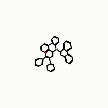 c1ccc(-c2ccc(N(c3ccccc3-c3ccccc3)c3cc4ccccc4c4ccccc34)cc2-c2ccccc2)cc1